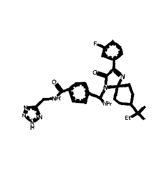 CCCC(c1ccc(C(=O)NCc2nn[nH]n2)cc1)N1C(=O)C(c2cccc(F)c2)=NC12CCC(C(C)(C)CC)CC2